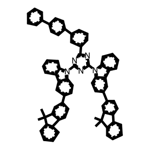 CC1(C)c2ccccc2-c2ccc(-c3ccc4c(c3)c3ccccc3n4-c3nc(-c4cccc(-c5ccc(-c6ccccc6)cc5)c4)nc(-n4c5ccccc5c5cc(-c6ccc7c(c6)C(C)(C)c6ccccc6-7)ccc54)n3)cc21